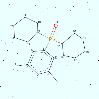 Cc1cc(C)cc(P(=O)(C2CCCCC2)C2CCCCC2)c1